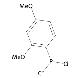 COc1ccc(P(Cl)Cl)c(OC)c1